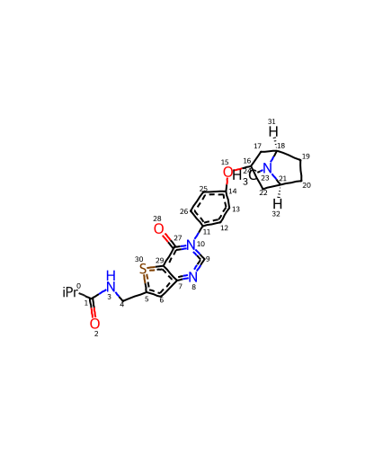 CC(C)C(=O)NCc1cc2ncn(-c3ccc(OC4C[C@H]5CC[C@@H](C4)N5C)cc3)c(=O)c2s1